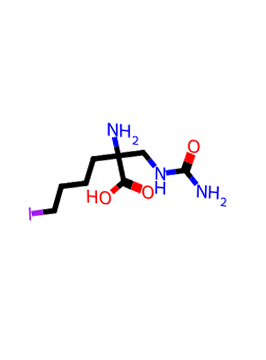 NC(=O)NCC(N)(CCCCI)C(=O)O